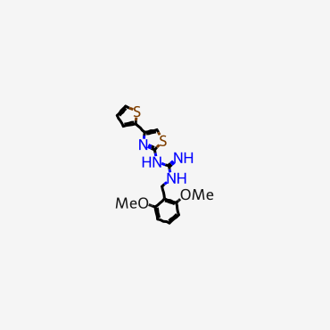 COc1cccc(OC)c1CNC(=N)Nc1nc(-c2cccs2)cs1